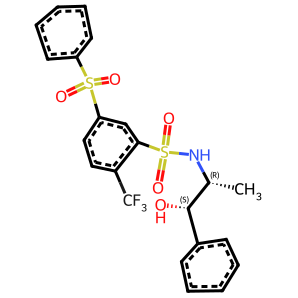 C[C@@H](NS(=O)(=O)c1cc(S(=O)(=O)c2ccccc2)ccc1C(F)(F)F)[C@@H](O)c1ccccc1